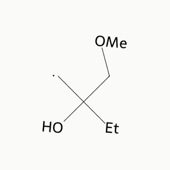 [CH2]C(O)(CC)COC